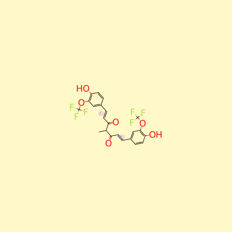 CC(C(=O)/C=C/c1ccc(O)c(OC(F)(F)F)c1)C(=O)/C=C/c1ccc(O)c(OC(F)(F)F)c1